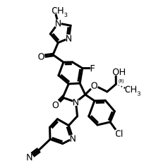 C[C@@H](O)COC1(c2ccc(Cl)cc2)c2c(F)cc(C(=O)c3cn(C)cn3)cc2C(=O)N1Cc1ccc(C#N)cn1